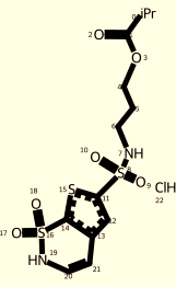 CC(C)C(=O)OCCCNS(=O)(=O)c1cc2c(s1)S(=O)(=O)NC=C2.Cl